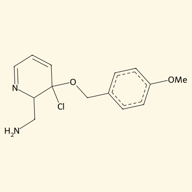 COc1ccc(COC2(Cl)C=CC=NC2CN)cc1